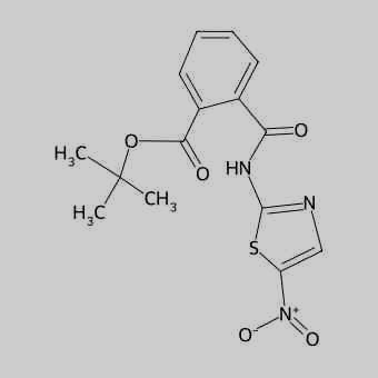 CC(C)(C)OC(=O)c1ccccc1C(=O)Nc1ncc([N+](=O)[O-])s1